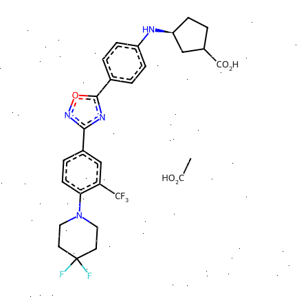 CC(=O)O.O=C(O)C1CC[C@H](Nc2ccc(-c3nc(-c4ccc(N5CCC(F)(F)CC5)c(C(F)(F)F)c4)no3)cc2)C1